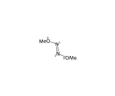 CON=NOC